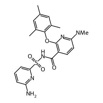 CNc1ccc(C(=O)NS(=O)(=O)c2cccc(N)n2)c(Oc2c(C)cc(C)cc2C)n1